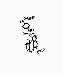 COC(=O)c1ccc(NC(=S)N2Cc3nc4sc(C(N)=O)c(N)c4c(-c4cccs4)c3C2)cc1